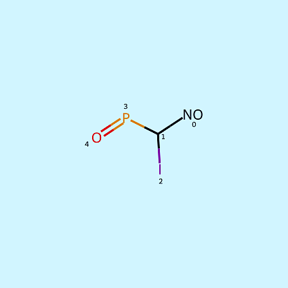 O=NC(I)P=O